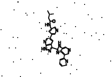 CC(C)CC(=O)Nc1cncc(-c2cnc3[nH]nc(-c4nc5c(-c6ccccn6)cncc5[nH]4)c3c2)c1